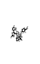 Cc1ccc(-c2sc(C)nc2C(=O)N2C3CC(C3)[C@@H](C)[C@H]2COc2ccc(F)cc2)cn1